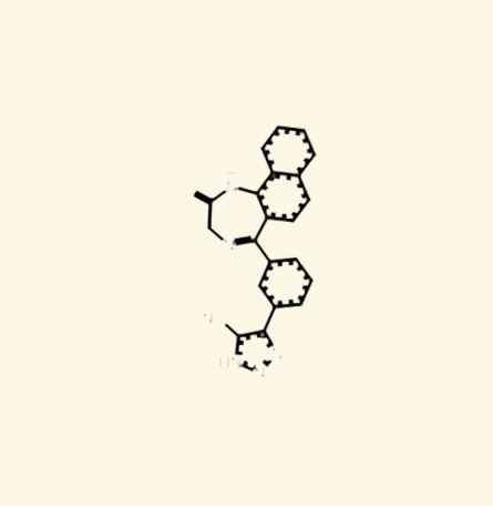 N#Cc1[nH]nnc1-c1cccc(C2=NCC(=O)Nc3c2ccc2ccccc32)c1